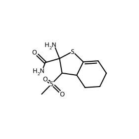 CS(=O)(=O)C1C2CCCC=C2SC1(N)C(N)=O